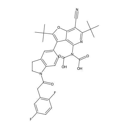 CC(C)(C)c1nc(N(C(=O)O)C(=O)O)c2c(-c3ccc4c(c3)CCN4C(=O)Cc3cc(F)ccc3F)c(C(C)(C)C)oc2c1C#N